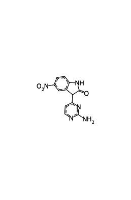 Nc1nccc(C2C(=O)Nc3ccc([N+](=O)[O-])cc32)n1